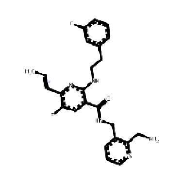 C/C=C/c1nc(NCCc2cccc(F)c2)c(C(=O)NCc2cccnc2CN)cc1F